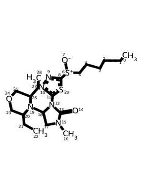 CCCCCC[S+]([O-])c1nnc(N2C(=O)N(C)CC2N2C(CC)COCC2CC)s1